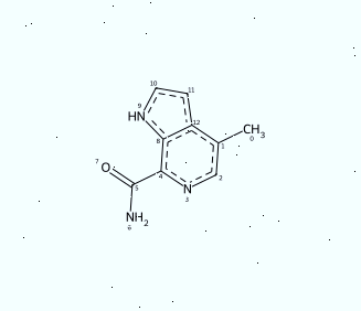 Cc1cnc(C(N)=O)c2[nH]ccc12